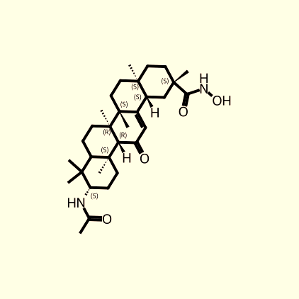 CC(=O)N[C@H]1CC[C@@]2(C)C(CC[C@]3(C)[C@@H]2C(=O)C=C2[C@H]4C[C@@](C)(C(=O)NO)CC[C@]4(C)CC[C@]23C)C1(C)C